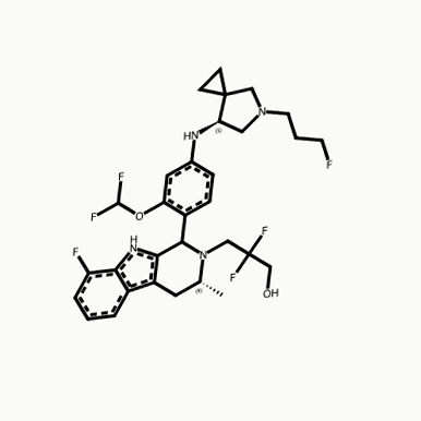 C[C@@H]1Cc2c([nH]c3c(F)cccc23)C(c2ccc(N[C@@H]3CN(CCCF)CC34CC4)cc2OC(F)F)N1CC(F)(F)CO